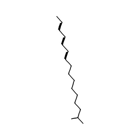 CC=CC=CC=CCCCCCCCC(C)O